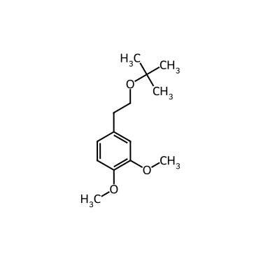 COc1ccc(CCOC(C)(C)C)cc1OC